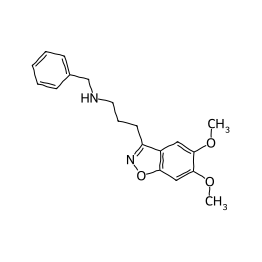 COc1cc2onc(CCCNCc3ccccc3)c2cc1OC